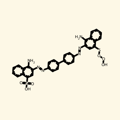 Nc1c(N=Nc2ccc(-c3ccc(N=Nc4cc(S(=O)(=O)O)c5ccccc5c4N)cc3)cc2)cc(SOOO)c2ccccc12